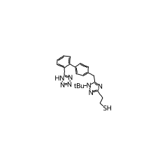 CC(C)(C)n1nc(CCS)nc1Cc1ccc(-c2ccccc2-c2nnn[nH]2)cc1